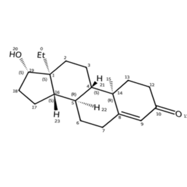 CC[C@]12CC[C@H]3[C@@H](CCC4=CC(=O)CC[C@@]43C)[C@@H]1CC[C@@H]2O